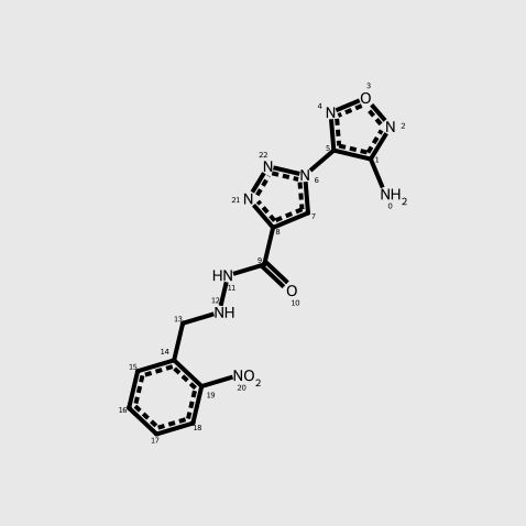 Nc1nonc1-n1cc(C(=O)NNCc2ccccc2[N+](=O)[O-])nn1